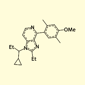 CCc1nc2c(-c3cc(C)c(OC)cc3C)nccc2n1C(CC)C1CC1